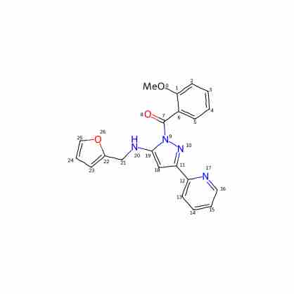 COc1ccccc1C(=O)n1nc(-c2ccccn2)cc1NCc1ccco1